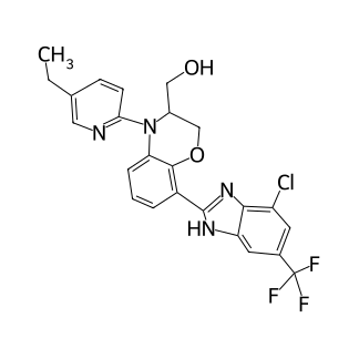 CCc1ccc(N2c3cccc(-c4nc5c(Cl)cc(C(F)(F)F)cc5[nH]4)c3OCC2CO)nc1